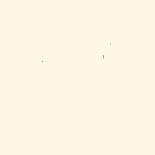 CCn1c2ccccc2c2cc(-n3nccc3-c3cccc(C)c3)ccc21